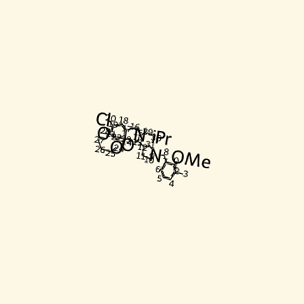 COc1c(C)cccc1CN1CCC(C(=O)N(Cc2cc(Cl)c3c(c2)OCCCO3)CC(C)C)C1